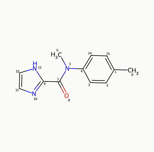 Cc1ccc(N(C)C(=O)c2ncc[nH]2)cc1